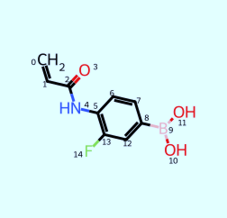 C=CC(=O)Nc1ccc(B(O)O)cc1F